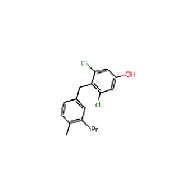 Cc1ccc(Cc2c(Cl)cc(O)cc2Cl)cc1C(C)C